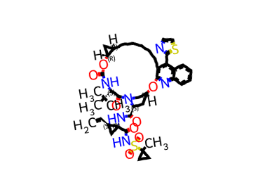 C=C[C@@H]1C[C@]1(NC(=O)[C@@H]1C[C@@H]2CN1C(=O)[C@H](C(C)(C)C)NC(=O)O[C@@H]1C[C@H]1CCCCCc1c(nc3ccccc3c1-c1nccs1)O2)C(=O)NS(=O)(=O)C1(C)CC1